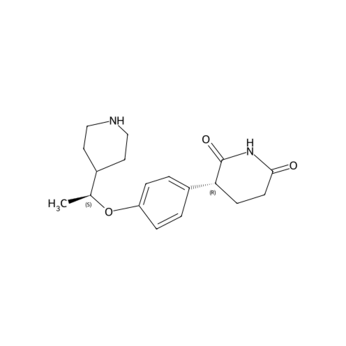 C[C@H](Oc1ccc([C@H]2CCC(=O)NC2=O)cc1)C1CCNCC1